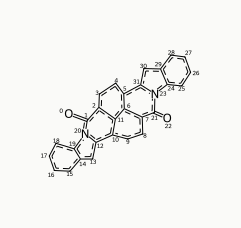 O=c1c2ccc3c4c(ccc(c24)c2cc4ccccc4n12)c(=O)n1c2ccccc2cc31